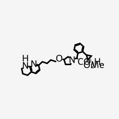 CO[C@H]1CC1c1ccccc1C(C(=O)O)N1CCC(OCCCCc2ccc3c(n2)NCCC3)C1